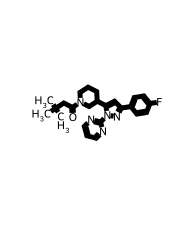 CC(C)(C)CC(=O)N1CCCC(c2cc(-c3ccc(F)cc3)nn2-c2ncccn2)C1